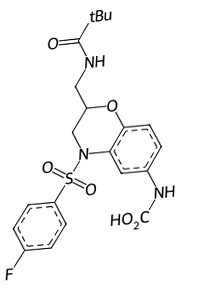 CC(C)(C)C(=O)NCC1CN(S(=O)(=O)c2ccc(F)cc2)c2cc(NC(=O)O)ccc2O1